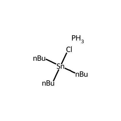 CCC[CH2][Sn]([Cl])([CH2]CCC)[CH2]CCC.P